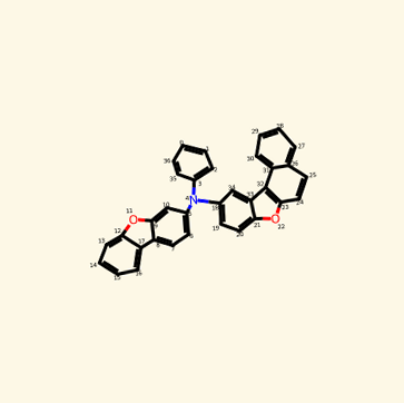 c1ccc(N(c2ccc3c(c2)oc2ccccc23)c2ccc3oc4ccc5ccccc5c4c3c2)cc1